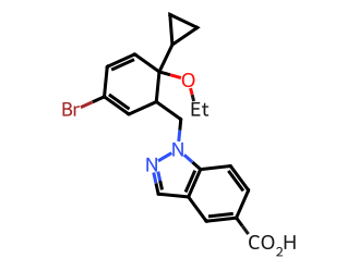 CCOC1(C2CC2)C=CC(Br)=CC1Cn1ncc2cc(C(=O)O)ccc21